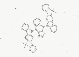 CC1(C)c2ccccc2-c2cc3c(cc21)c1ccccc1n3-c1c2ccccc2c(-n2c3ccccc3c3cc4c(cc32)-c2ccccc2C4(C)C)c2nsnc12